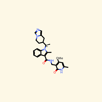 COc1cc(C)[nH]c(=O)c1CNC(=O)c1c(C)n([C@H](C)C2CCn3cncc3C2)c2ccccc12